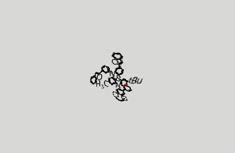 Cc1cc2c3c(c1)N(c1cc4c(cc1-c1ccccc1)OCCCO4)c1ccc(C(C)(C)C)cc1B3c1ccc(-c3cc4ccccc4o3)cc1N2c1cccc(-c2cc3ccccc3o2)c1